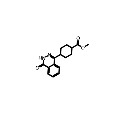 COC(=O)C1CCC(c2n[nH]c(=O)c3ccccc23)CC1